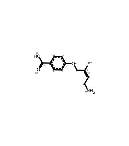 NC/C=C(/F)COc1ccc(C(=O)O)cc1